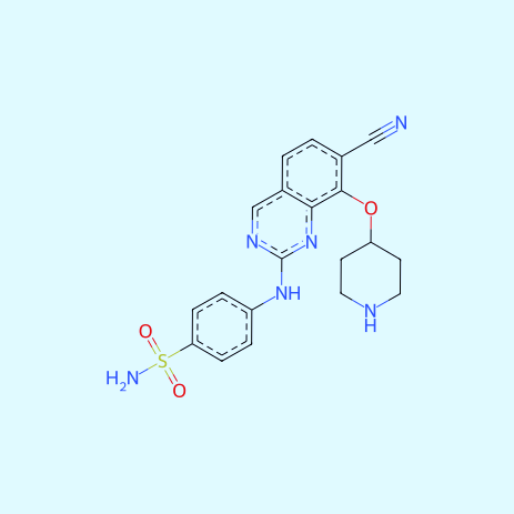 N#Cc1ccc2cnc(Nc3ccc(S(N)(=O)=O)cc3)nc2c1OC1CCNCC1